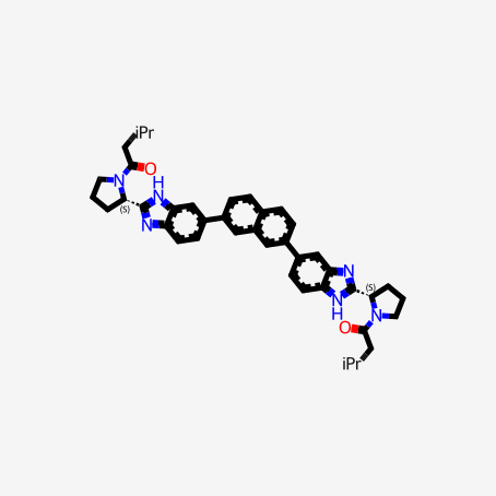 CC(C)CC(=O)N1CCC[C@H]1c1nc2cc(-c3ccc4ccc(-c5ccc6nc([C@@H]7CCCN7C(=O)CC(C)C)[nH]c6c5)cc4c3)ccc2[nH]1